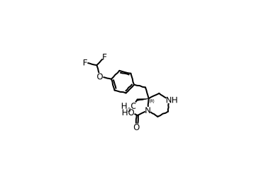 CC[C@@]1(Cc2ccc(OC(F)F)cc2)CNCCN1C(=O)O